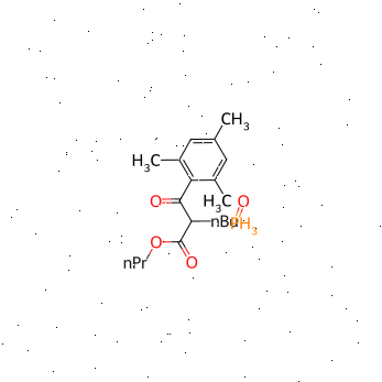 CCCCC(C(=O)OCCC)C(=O)c1c(C)cc(C)cc1C.O=[PH3]